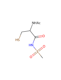 CC(=O)NC(CS)C(=O)NS(C)(=O)=O